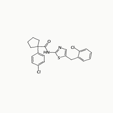 O=C(Nc1ncc(Cc2ccccc2Cl)s1)C1(c2ccc(Cl)cc2)CCCC1